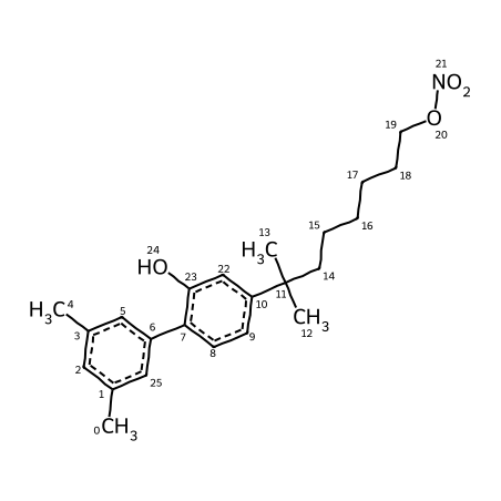 Cc1cc(C)cc(-c2ccc(C(C)(C)CCCCCCO[N+](=O)[O-])cc2O)c1